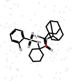 NC(=O)C12CC3CC(C1)C(NC(=O)C1(NS(=O)(=O)c4ccccc4Cl)CCCCC1)C(C3)C2